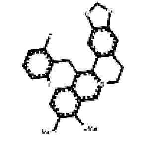 COc1ccc2c(Cc3c(F)cccc3F)c3[n+](cc2c1OC)CCc1cc2c(cc1-3)OCO2